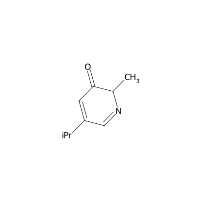 CC(C)C1=CC(=O)C(C)N=C1